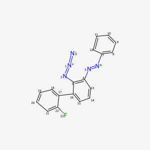 [N-]=[N+]=Nc1c(N=Nc2ccccc2)cccc1-c1ccccc1F